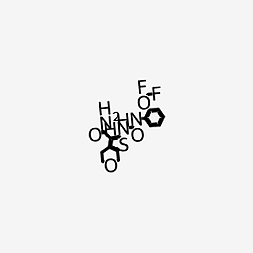 NC(=O)c1c(NC(=O)Nc2ccccc2OC(F)F)sc2c1CCOC2